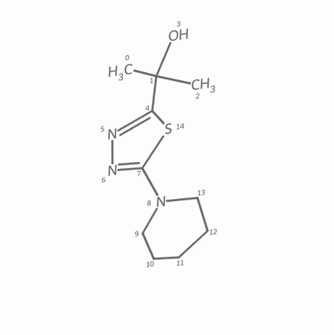 CC(C)(O)c1nnc(N2CCCCC2)s1